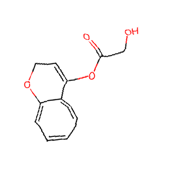 O=C(CO)OC1=CCOc2ccccc21